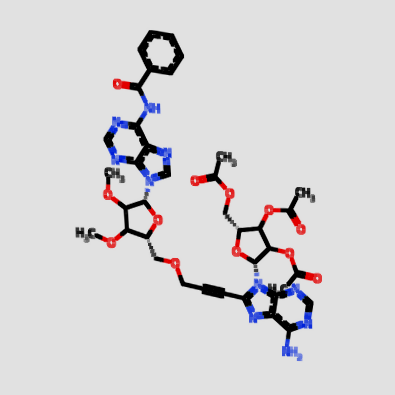 COC1C(OC)[C@@H](COCC#Cc2nc3c(N)ncnc3n2[C@@H]2O[C@H](COC(C)=O)C(OC(C)=O)C2OC(C)=O)O[C@H]1n1cnc2c(NC(=O)c3ccccc3)ncnc21